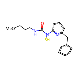 COCCCNC(=O)N(S)c1cccc(Cc2ccccc2)n1